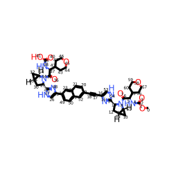 COC(=O)N[C@H](C(=O)N1[C@@H]2C[C@@H]2C[C@H]1c1nc(C#Cc2ccc3cc(-c4c[nH]c([C@@H]5C[C@H]6C[C@H]6N5C(=O)[C@@H](NC(=O)O)C5CCOCC5)n4)ccc3c2)c[nH]1)C1CCOCC1